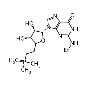 C=P(C)(C)CCC1O[C@@H](n2cnc3c(=O)[nH]c(NCC)nc32)[C@H](O)[C@@H]1O